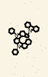 c1ccc(-n2c3ccc4ccccc4c3c3c4c5c6cccc(-n7c8ccccc8c8ccccc87)c6ccc5n(-c5ccccc5)c4ccc32)cc1